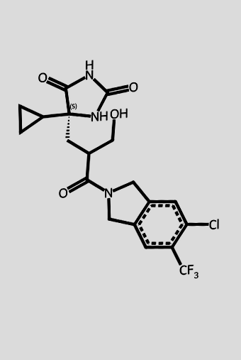 O=C1NC(=O)[C@](CC(CO)C(=O)N2Cc3cc(Cl)c(C(F)(F)F)cc3C2)(C2CC2)N1